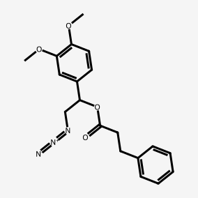 COc1ccc(C(CN=[N+]=[N-])OC(=O)CCc2ccccc2)cc1OC